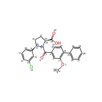 COc1cc(C(=O)N2[C@@H](c3cccc(Cl)c3)CC[C@H]2C(=O)O)ccc1-c1ccccc1